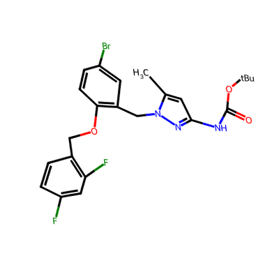 Cc1cc(NC(=O)OC(C)(C)C)nn1Cc1cc(Br)ccc1OCc1ccc(F)cc1F